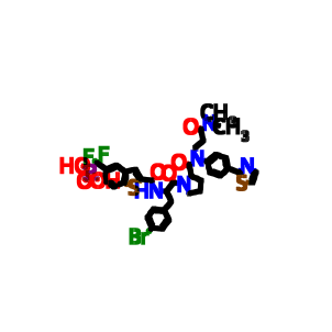 CN(C)C(=O)CCN(C(=O)C1CCCN1C(=O)C(Cc1ccc(Br)cc1)NC(=O)c1cc2cc(C(F)(F)P(=O)(O)O)ccc2s1)c1ccc(-c2nccs2)cc1